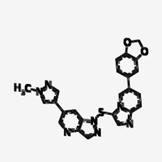 Cn1cc(-c2cnc3cnn(Sc4cnc5ccc(-c6ccc7c(c6)OCO7)cn45)c3c2)cn1